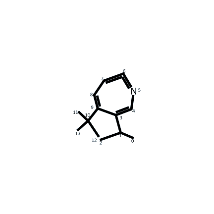 CC(C)C1=CN=C=CC=C1C(C)(C)C